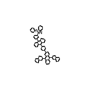 c1ccc(-n2c(-c3cccc(-c4c5ccccc5c(-c5ccc(-c6ccc7c(-c8ccc9ccccc9c8)c8ccccc8c(-c8ccc9ccccc9c8)c7c6)cc5)c5ccccc45)c3)nc3ccccc32)cc1